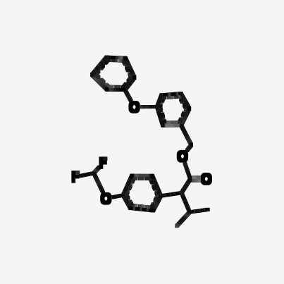 CC(C)C(C(=O)OCc1cccc(Oc2ccccc2)c1)c1ccc(OC(F)F)cc1